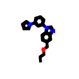 CCCOCc1ccc2c(c1)ncn2-c1cccc(-n2cccc2)c1